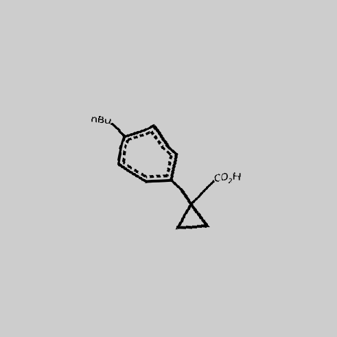 CCCCc1ccc(C2(C(=O)O)CC2)cc1